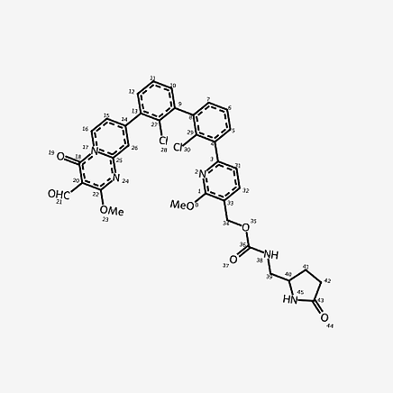 COc1nc(-c2cccc(-c3cccc(-c4ccn5c(=O)c(C=O)c(OC)nc5c4)c3Cl)c2Cl)ccc1COC(=O)NCC1CCC(=O)N1